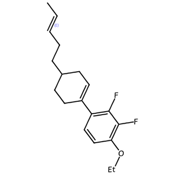 C/C=C/CCC1CC=C(c2ccc(OCC)c(F)c2F)CC1